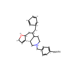 CC(=O)Nc1ccc(CN2CCC(C(Cc3ccccc3)CC3C=CCO3)CC2)cc1